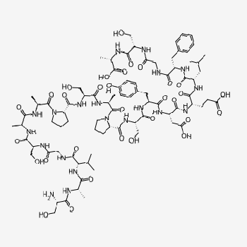 CC(C)C[C@H](NC(=O)[C@H](CCC(=O)O)NC(=O)[C@H](CC(=O)O)NC(=O)[C@H](Cc1ccc(O)cc1)NC(=O)[C@H](CO)NC(=O)[C@@H]1CCCN1C(=O)[C@H](C)NC(=O)[C@H](CO)NC(=O)[C@@H]1CCCN1C(=O)[C@H](C)NC(=O)[C@H](C)NC(=O)[C@H](CO)NC(=O)CNC(=O)[C@@H](NC(=O)[C@H](C)NC(=O)[C@@H](N)CO)C(C)C)C(=O)N[C@@H](Cc1ccccc1)C(=O)NCC(=O)N[C@@H](CO)C(=O)N[C@@H](C)C(=O)O